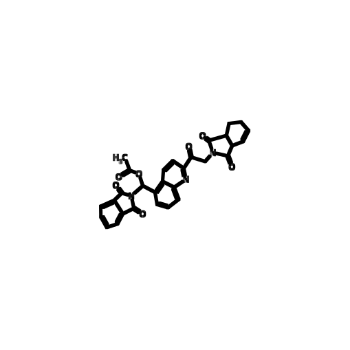 CC(=O)OC(c1cccc2nc(C(=O)CN3C(=O)C4C=CCCC4C3=O)ccc12)N1C(=O)c2ccccc2C1=O